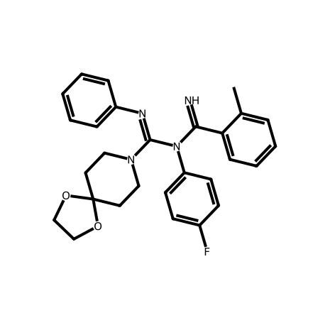 Cc1ccccc1C(=N)N(C(=Nc1ccccc1)N1CCC2(CC1)OCCO2)c1ccc(F)cc1